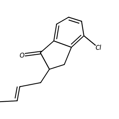 CC=CCC1Cc2c(Cl)cccc2C1=O